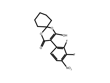 O=C1OC2(CCCCC2)OC(O)=C1c1ccc([N+](=O)[O-])c(F)c1F